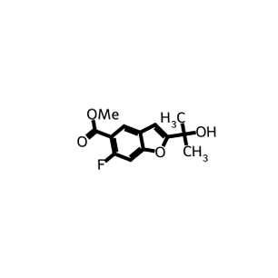 COC(=O)c1cc2cc(C(C)(C)O)oc2cc1F